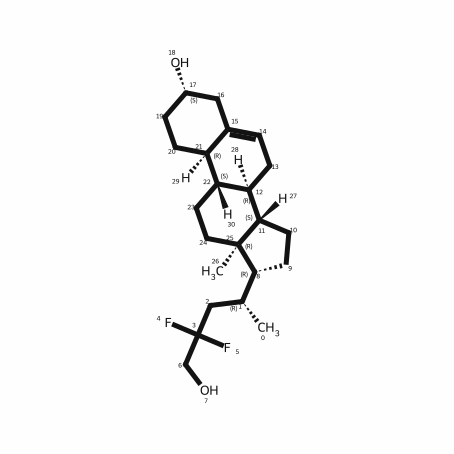 C[C@H](CC(F)(F)CO)[C@H]1CC[C@H]2[C@@H]3CC=C4C[C@@H](O)CC[C@@H]4[C@H]3CC[C@]12C